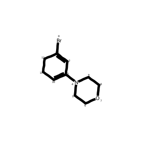 BrC1=CC(N2CCOCC2)=CCC1